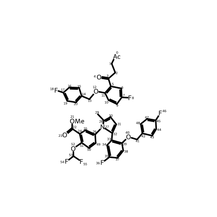 CC(=O)CCC(=O)c1cc(F)ccc1OCc1ccc(F)cc1.COC(=O)c1cc(-n2c(C)ccc2-c2cc(F)ccc2OCc2ccc(F)cc2)ccc1OC(F)F